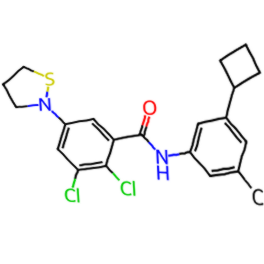 N#Cc1cc(NC(=O)c2cc(N3CCCS3)cc(Cl)c2Cl)cc(C2CCC2)c1